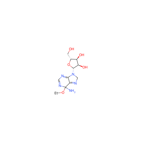 CCOC1(N)N=CN=C2C1=NCN2[C@@H]1O[C@H](CO)[C@@H](O)[C@H]1O